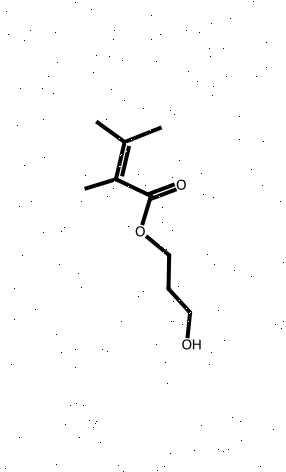 CC(C)=C(C)C(=O)OCCCO